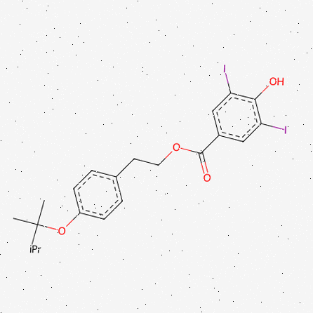 CC(C)C(C)(C)Oc1ccc(CCOC(=O)c2cc(I)c(O)c(I)c2)cc1